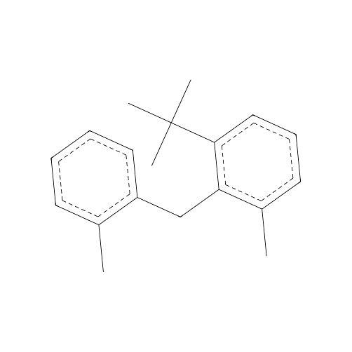 Cc1ccccc1Cc1c(C)cccc1C(C)(C)C